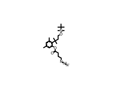 Cc1cc(C)c(C(C)(C)CCO[Si](C)(C)C(C)(C)C)c(OC(=O)CCCN=[N+]=[N-])c1